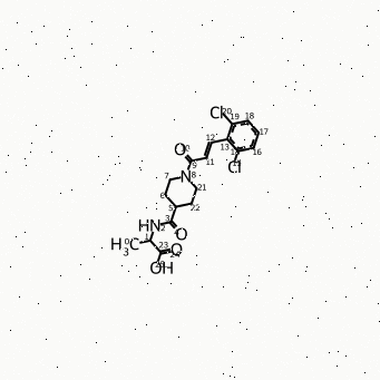 CC(NC(=O)C1CCN(C(=O)C=Cc2c(Cl)cccc2Cl)CC1)C(=O)O